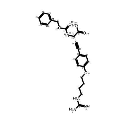 N=C(N)NCCCCOc1ccc(C#C[C@H](NC(=O)OCc2ccccc2)C(=O)O)cc1